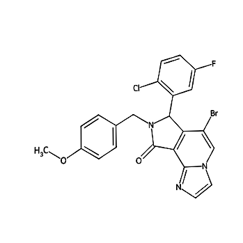 COc1ccc(CN2C(=O)c3c(c(Br)cn4ccnc34)C2c2cc(F)ccc2Cl)cc1